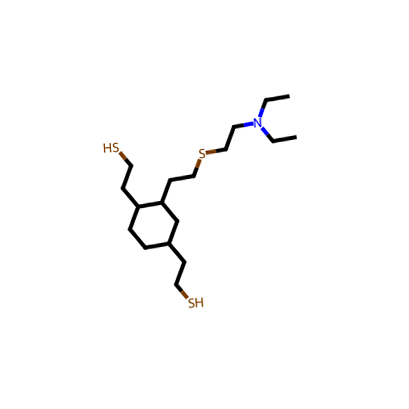 CCN(CC)CCSCCC1CC(CCS)CCC1CCS